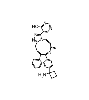 C=C1/C=C\n2c(nnc2-c2cncnc2O)C/C=C(c2ccccc2)\C(c2ccc(C3(N)CCC3)cc2)=N/1